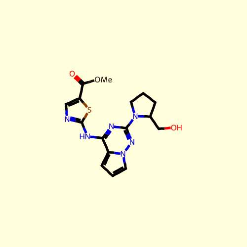 COC(=O)c1cnc(Nc2nc(N3CCCC3CO)nn3cccc23)s1